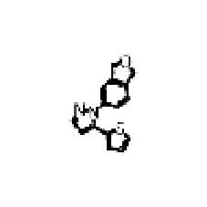 c1csc(-c2ccnn2-c2ccc3c(c2)COC3)c1